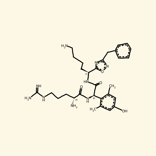 Cc1cc(O)cc(C)c1[C@@H](NC(=O)[C@H](N)CCCNC(=N)N)C(=O)N[C@@H](CCCCN)c1nc(Cc2ccccc2)no1